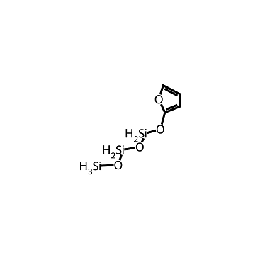 [SiH3]O[SiH2]O[SiH2]Oc1ccco1